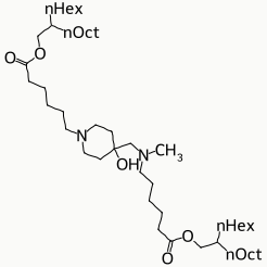 CCCCCCCCC(CCCCCC)COC(=O)CCCCCN(C)CC1(O)CCN(CCCCCC(=O)OCC(CCCCCC)CCCCCCCC)CC1